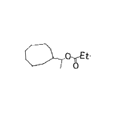 C[CH]C(=O)OC(C)C1CCCCCCC1